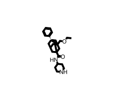 CCOCC12CC3CC(C(=O)NC4CCNCC4)(C1)C[C@@](c1ccccc1)(C3)C2